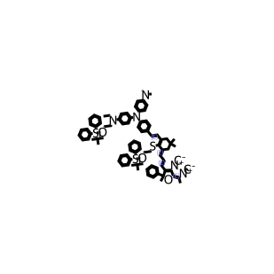 [C-]#[N+]C1=C(/C=C/C=C2\CC(C)(C)CC(/C=C/c3ccc(N(c4ccc(N(C)C)cc4)c4ccc(N(CC)CCO[Si](c5ccccc5)(c5ccccc5)C(C)(C)C)cc4)cc3)=C2SCCO[Si](c2ccccc2)(c2ccccc2)C(C)(C)C)C(C)(c2ccccc2)O/C1=C(\C)[N+]#[C-]